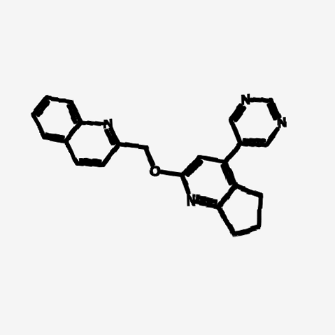 c1ccc2nc(COc3cc(-c4cncnc4)c4c(n3)CCC4)ccc2c1